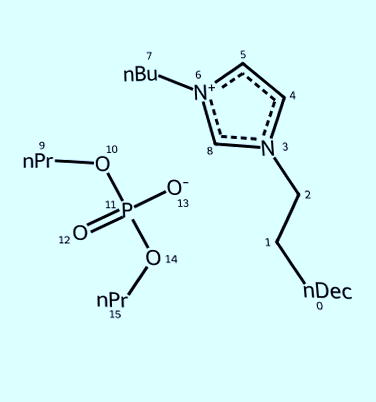 CCCCCCCCCCCCn1cc[n+](CCCC)c1.CCCOP(=O)([O-])OCCC